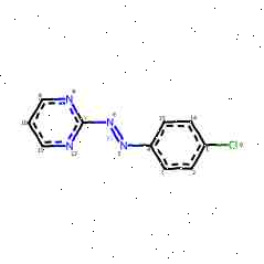 Clc1ccc(/N=N/c2n[c]ccn2)cc1